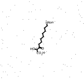 CCCCCCCCCCCCCCCCCC(=O)C(O)C(=O)O